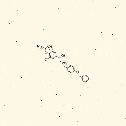 CC(C)Oc1ccc(C(O)CNCc2ccc(OCc3ccccc3)cc2)cc1Cl